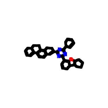 C1=CCC2CCc3c(ccc4c3CCC(c3nc(C5=C6OC7=C(CCCC7)C6CC=C5)nc(C5C=CC=CC5)n3)=C4)C2=C1